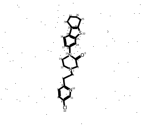 O=C1CN(CCc2ccc(Cl)cn2)CCN1c1ccc2c3c(sc2c1)CCCC3